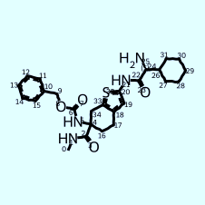 CNC(=O)C1(NC(=O)OCc2ccccc2)CCc2cc(NC(=O)[C@@H](N)C3CCCCC3)sc2C1